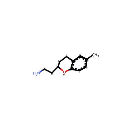 Cc1ccc2c(c1)CCC(CCN)O2